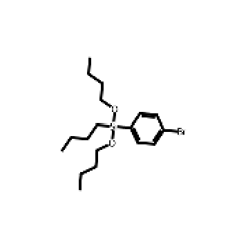 CCCCO[Si](CCCC)(OCCCC)c1ccc(Br)cc1